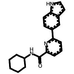 O=C(NC1CCCCC1)c1cccc(-c2ccc3[nH]ccc3c2)n1